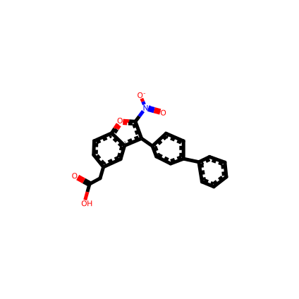 O=C(O)Cc1ccc2oc([N+](=O)[O-])c(-c3ccc(-c4ccccc4)cc3)c2c1